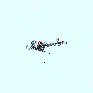 CCOc1ccc(C(=O)N2CCN(c3ccc(-c4ccccc4OCC)nc3CN(CCCOCCOCCOCCOCCNC(=O)OC(C)(C)C)S(=O)(=O)c3ccccc3[N+](=O)[O-])[C@H](CC)C2)c(C(F)(F)F)c1